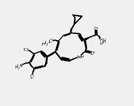 Cc1cc(C2CC2)cc(C(=O)O)c(=O)[nH]ccc1-c1cc(Cl)c(N)c(Cl)c1